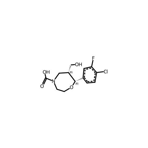 O=C(O)N1CCO[C@@H](c2ccc(Cl)c(F)c2)[C@@H](CO)C1